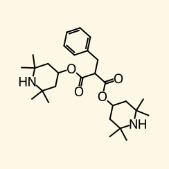 CC1(C)CC(OC(=O)C(Cc2ccccc2)C(=O)OC2CC(C)(C)NC(C)(C)C2)CC(C)(C)N1